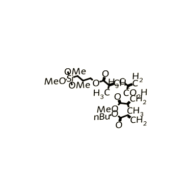 C=C(C)C(=O)O.C=C(C)C(=O)OC.C=C(C)C(=O)OCCC[Si](OC)(OC)OC.C=CC(=O)OCCCC